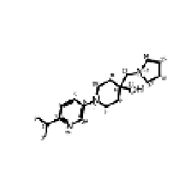 CC(C)c1ccc(N2CCC(O)(CN3CCCC3)CC2)cn1